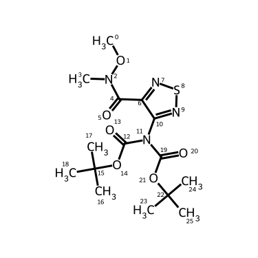 CON(C)C(=O)c1nsnc1N(C(=O)OC(C)(C)C)C(=O)OC(C)(C)C